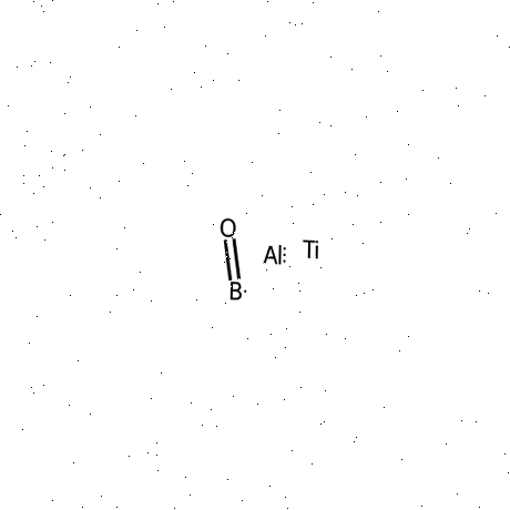 [Al].[B]=O.[Ti]